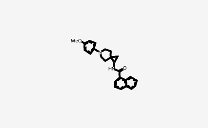 COc1ccc(N2CCC3(CC2)CC3NC(=O)c2cccc3ccccc23)cc1